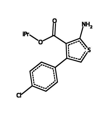 CC(C)OC(=O)c1c(-c2ccc(Cl)cc2)csc1N